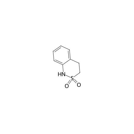 O=S1(=O)CCc2ccccc2N1